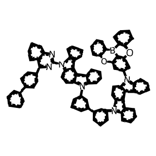 c1ccc(-c2ccc(-c3nc(-n4c5ccccc5c5c6c7ccccc7n(-c7cccc(-c8cccc(-n9c%10ccccc%10c%10c%11c%12ccccc%12n(-c%12cc%13c%14c(c%12)Oc%12ccccc%12B%14c%12ccccc%12O%13)c%11ccc%109)c8)c7)c6ccc54)nc4ccccc34)cc2)cc1